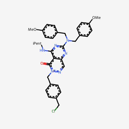 CCCC(C)Nc1nc(N(Cc2ccc(OC)cc2)Cc2ccc(OC)cc2)nc2cnn(Cc3ccc(CCl)cc3)c(=O)c12